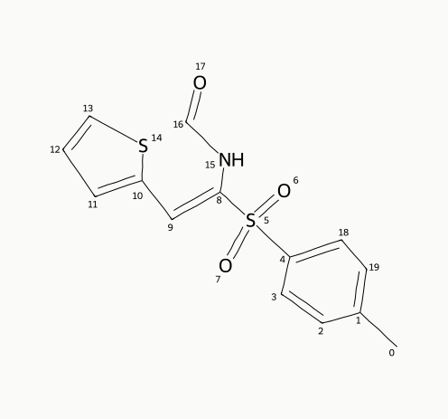 Cc1ccc(S(=O)(=O)C(=Cc2cccs2)NC=O)cc1